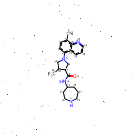 N#Cc1ccc(N2CC(C(=O)NC3CCCNCC3)C(C(F)(F)F)C2)c2cccnc12